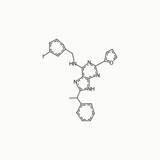 CC(c1ccccc1)c1nc2c(NCc3cccc(I)c3)nc(-c3ccco3)nc2[nH]1